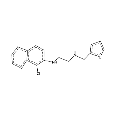 Clc1c(NCCNCc2ccco2)ccc2ccccc12